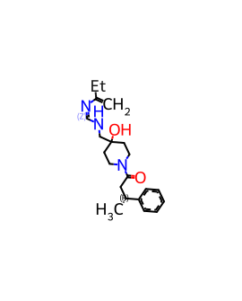 C=C(CC)/N=C\NCC1(O)CCN(C(=O)C[C@@H](C)c2ccccc2)CC1